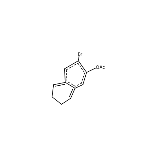 CC(=O)Oc1cc2c(cc1Br)=CCCC=2